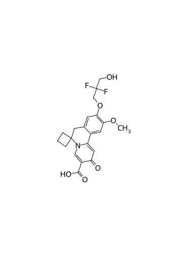 COc1cc2c(cc1OCC(F)(F)CO)CC1(CCC1)n1cc(C(=O)O)c(=O)cc1-2